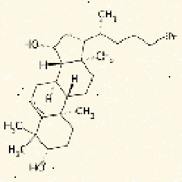 CC(C)CCC[C@@H](C)[C@H]1C[C@@H](O)[C@H]2[C@@H]3CC=C4C(C)(C)[C@@H](O)CC[C@]4(C)[C@H]3CC[C@@]21C